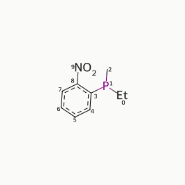 CCP(C)c1ccccc1[N+](=O)[O-]